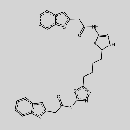 O=C(Cc1cc2ccccc2s1)NC1=NNC(CCCCc2nnc(NC(=O)Cc3cc4ccccc4s3)s2)S1